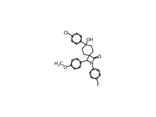 COc1ccc(C2N(c3ccc(F)cc3)C(=O)C23CCC(O)(c2ccc(Cl)cc2)CC3)cc1